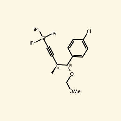 COCO[C@@H](c1ccc(Cl)cc1)[C@@H](C)C#C[Si](C(C)C)(C(C)C)C(C)C